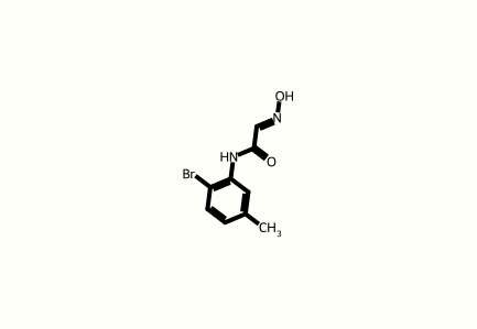 Cc1ccc(Br)c(NC(=O)/C=N/O)c1